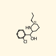 CCC[C@H]1CCCC(C(O)c2ccccc2Cl)N1